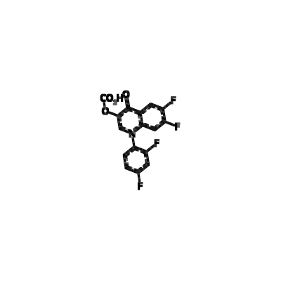 O=C(O)Oc1cn(-c2ccc(F)cc2F)c2cc(F)c(F)cc2c1=O